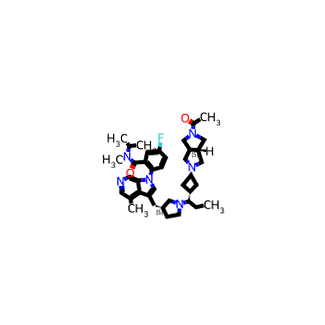 CCC([C@H]1C[C@@H](N2CC3CN(C(C)=O)C[C@@H]3C2)C1)N1CC[C@H](Cc2cn(-c3ccc(F)cc3C(=O)N(C)C(C)C)c3cncc(C)c23)C1